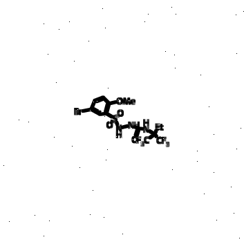 CCC(NC(=O)NNS(=O)(=O)c1cc(Br)ccc1OC)(C(F)(F)F)C(F)(F)F